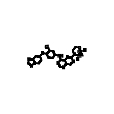 Clc1cc(Nc2ncnc3cnc(N4CCO[C@H]5C[C@H]54)nc23)ccc1Oc1ccn2ncnc2c1